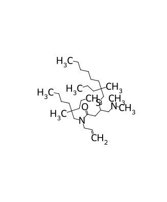 C=CCN(CC(C)(CCC)CCCC)C(=O)CC(CN(C)C)SCC(C)(CCC)CCCCCC